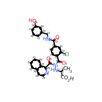 C[C@H](NN(C(=O)c1ccc(C(=O)NCc2cccc(O)c2)cc1Cl)C(=O)c1nccc2ccccc12)C(=O)O